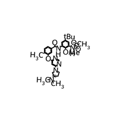 COc1c(NC(=O)c2ccc(C)c(Oc3cc(N4CC[C@@H](N(C)C)C4)ncn3)c2)cc(C(C)(C)C)cc1NS(C)(=O)=O